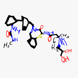 CNC(=O)Nc1ccccc1-c1ccc(CN2Cc3ccccc3S[C@@H](NC(=O)CC(C)(C)NC[C@H](O)CO)C2=O)cc1